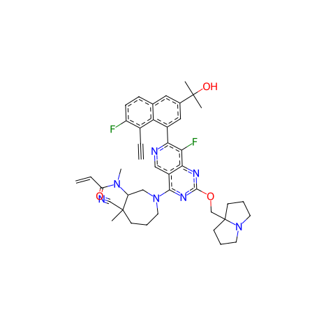 C#Cc1c(F)ccc2cc(C(C)(C)O)cc(-c3ncc4c(N5CCCC(C)(C#N)C(N(C)C(=O)C=C)C5)nc(OCC56CCCN5CCC6)nc4c3F)c12